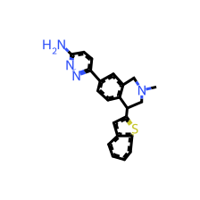 CN1Cc2cc(-c3ccc(N)nn3)ccc2C(c2cc3ccccc3s2)C1